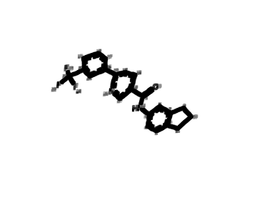 O=C(Nc1ccc2c(c1)CCC2)c1ccc(-c2cccc(C(F)(F)F)c2)nc1